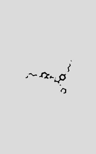 CCN(C)CCCOc1ccc2nc(NC(=O)/C(=N/O[C@@H]3CCOC3)c3ccc(S(=O)(=O)CCCOC)cc3)sc2n1